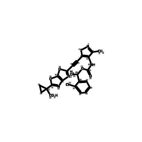 Cc1nsc(C#Cc2nc3nc(C4(C(=O)O)CC4)oc3o2)c1NC(=O)OC(C)c1ccccc1Cl